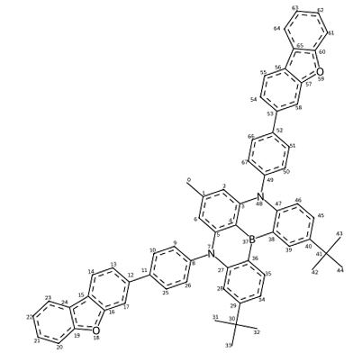 Cc1cc2c3c(c1)N(c1ccc(-c4ccc5c(c4)oc4ccccc45)cc1)c1cc(C(C)(C)C)ccc1B3c1cc(C(C)(C)C)ccc1N2c1ccc(-c2ccc3c(c2)oc2ccccc23)cc1